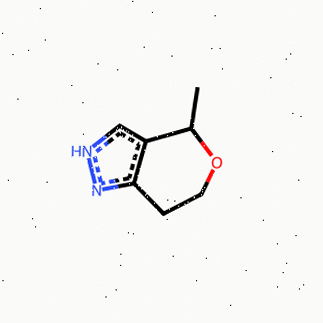 CC1OCCc2n[nH]cc21